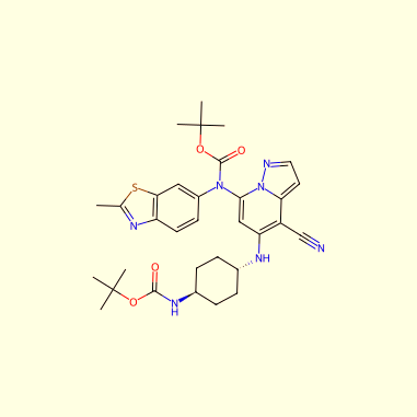 Cc1nc2ccc(N(C(=O)OC(C)(C)C)c3cc(N[C@H]4CC[C@H](NC(=O)OC(C)(C)C)CC4)c(C#N)c4ccnn34)cc2s1